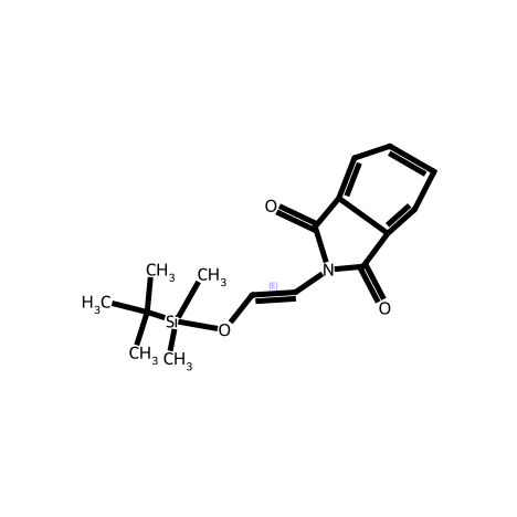 CC(C)(C)[Si](C)(C)O/C=C/N1C(=O)c2ccccc2C1=O